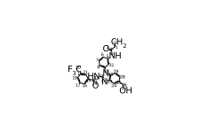 C=CC(=O)Nc1cccc(-n2c(NC(=O)c3cccc(C(F)(F)F)c3)nc3cc(CO)ccc32)c1